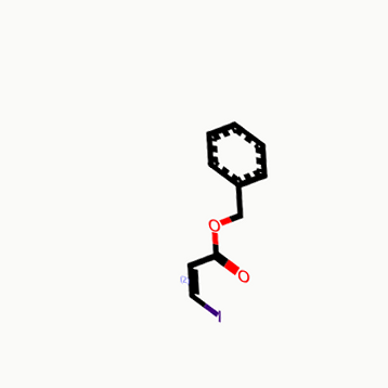 O=C(/C=C\I)OCc1ccccc1